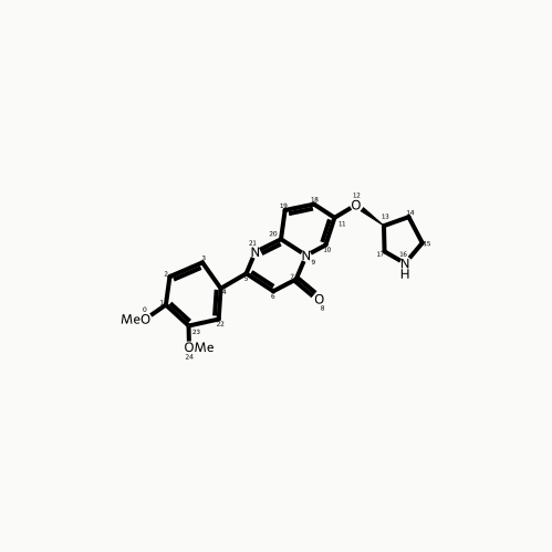 COc1ccc(-c2cc(=O)n3cc(O[C@H]4CCNC4)ccc3n2)cc1OC